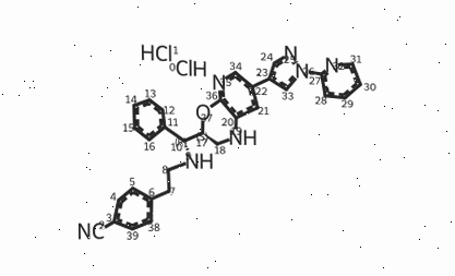 Cl.Cl.N#Cc1ccc(CCN[C@H](c2ccccc2)[C@@H]2CNc3cc(-c4cnn(-c5ccccn5)c4)cnc3O2)cc1